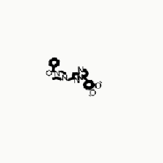 COc1ccc(-c2ccnc3cc(CN4CCN(C(=O)c5ccccc5)C(C)C4)nn23)cc1OC